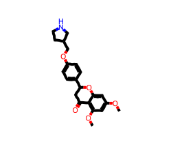 COc1cc(OC)c2c(c1)OC(c1ccc(OCC3CCNC3)cc1)CC2=O